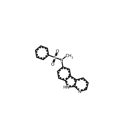 CN(c1ccc2[nH]c3ncccc3c2c1)S(=O)(=O)c1ccccc1